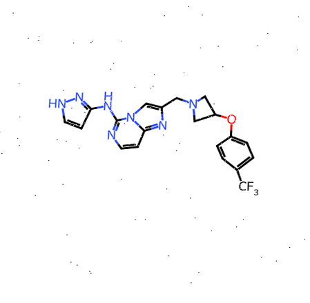 FC(F)(F)c1ccc(OC2CN(Cc3cn4c(Nc5cc[nH]n5)nccc4n3)C2)cc1